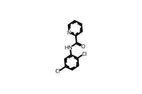 O=C(Nc1cc(Cl)ccc1Cl)c1ccccn1